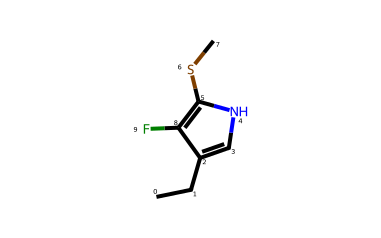 CCc1c[nH]c(SC)c1F